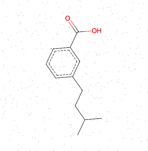 CC(C)CCc1cc[c]c(C(=O)O)c1